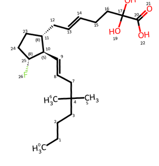 CCCCC(C)(C)CC=C[C@@H]1[C@@H](CC=CCCC(O)(O)C(=O)O)CC[C@H]1F